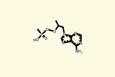 CC(Cn1cnc2c(N)ncnc21)OOP(C)(=O)O